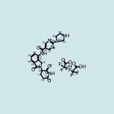 O=C(O)C(F)(F)F.O=C(O)C(F)(F)F.O=C1CCC(N2Cc3c(NC(=O)c4cnc(N5CCNCC5)nc4)cccc3C2=O)C(=O)N1